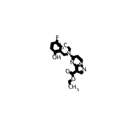 CCOC(=O)c1cnn2ccc(N(CC)Cc3cc(F)ccc3O)nc12